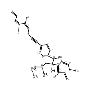 C=C/C=C(F)\C(F)=C/CC#Cc1cnc(C(F)C(O)(CN(N)/C=N\N)C(/C=C\CF)=C(\F)C=C)cn1